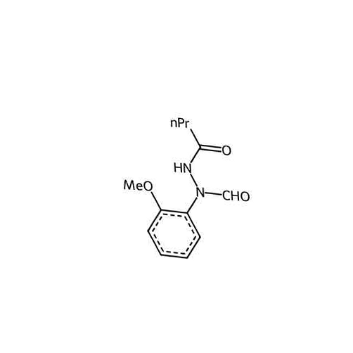 CCCC(=O)NN(C=O)c1ccccc1OC